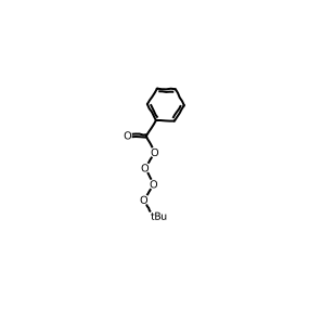 CC(C)(C)OOOOC(=O)c1ccccc1